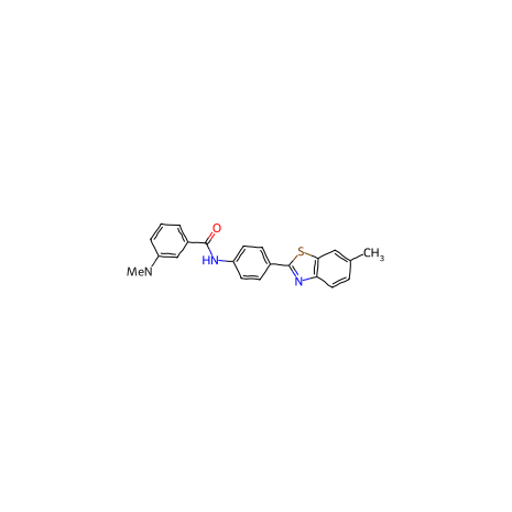 CNc1cccc(C(=O)Nc2ccc(-c3nc4ccc(C)cc4s3)cc2)c1